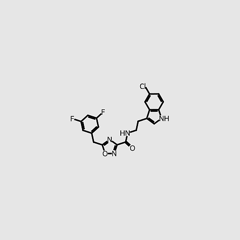 O=C(NCCc1c[nH]c2ccc(Cl)cc12)c1noc(Cc2cc(F)cc(F)c2)n1